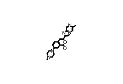 Cc1cn2cc(-c3cc4ccc(N5CCN(C)CC5)cc4c(=O)o3)nc2cn1